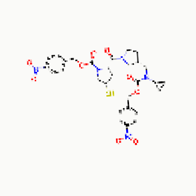 O=C([C@@H]1C[C@H](S)CN1C(=O)OCc1ccc([N+](=O)[O-])cc1)N1CC[C@H](CN(C(=O)OCc2ccc([N+](=O)[O-])cc2)C2CC2)C1